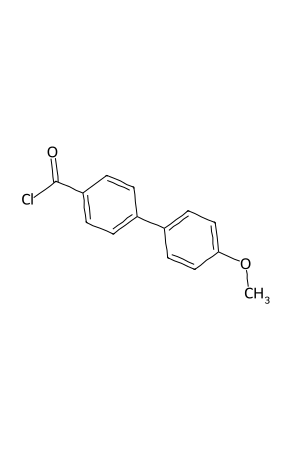 COc1ccc(-c2ccc(C(=O)Cl)cc2)cc1